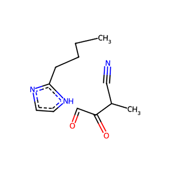 CC(C#N)C(=O)C=O.CCCCc1ncc[nH]1